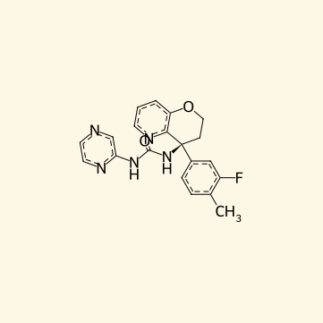 Cc1ccc([C@@]2(NC(=O)Nc3cnccn3)CCOc3cccnc32)cc1F